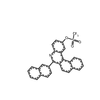 O=S(=O)(Oc1ccc2nc(-c3ccc4ccccc4c3)c3ccc4ccccc4c3c2c1)C(F)(F)F